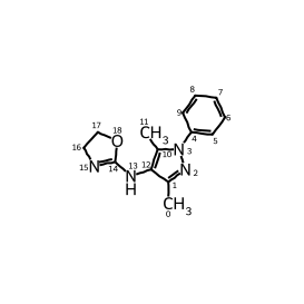 Cc1nn(-c2ccccc2)c(C)c1NC1=NCCO1